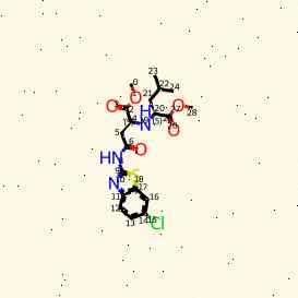 COC(=O)[C@H](CC(=O)Nc1nc2ccc(Cl)cc2s1)N[C@@H](CC(C)C)C(=O)OC